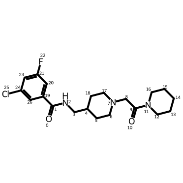 O=C(NCC1CCN(CC(=O)N2CCCCC2)CC1)c1cc(F)cc(Cl)c1